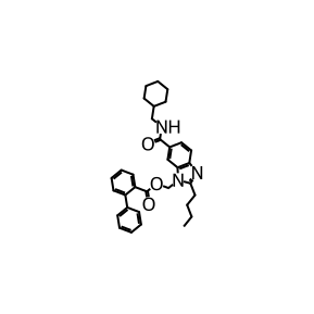 CCCCc1nc2ccc(C(=O)NCC3CCCCC3)cc2n1COC(=O)c1ccccc1-c1ccccc1